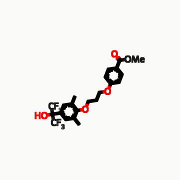 COC(=O)c1ccc(OCCCOc2c(C)cc(C(O)(C(F)(F)F)C(F)(F)F)cc2C)cc1